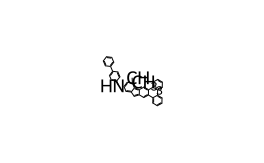 CC1(C)C=C(Nc2ccc(-c3ccccc3)cc2)C=C2C=c3cc4c5ccccc5c5ccccc5c4cc3=C21